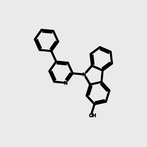 Oc1ccc2c3ccccc3n(-c3cc(-c4ccccc4)ccn3)c2c1